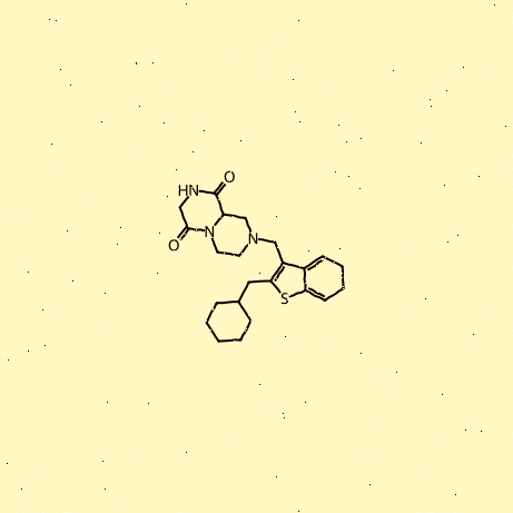 O=C1NCC(=O)N2CCN(Cc3c(CC4CCCCC4)sc4c3=CCCC=4)CC12